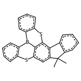 CC1(C)c2ccccc2-c2c1cc1c3c2Sc2ccccc2B3c2ccccc2S1